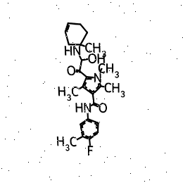 Cc1cc(NC(=O)c2c(C)c(C(=O)C(O)NC3(C)CC=CCC3)n(C)c2C)ccc1F